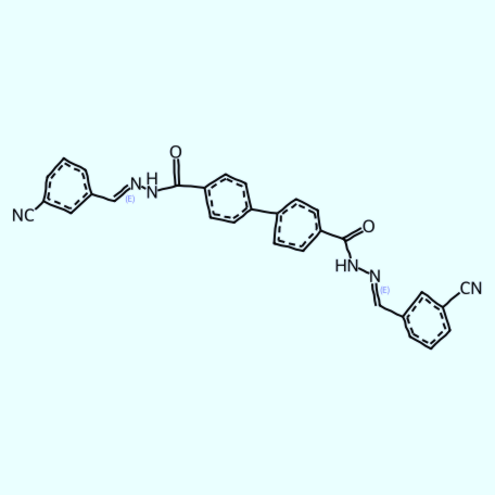 N#Cc1cccc(/C=N/NC(=O)c2ccc(-c3ccc(C(=O)N/N=C/c4cccc(C#N)c4)cc3)cc2)c1